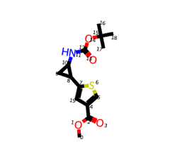 COC(=O)c1csc(C2CC2NC(=O)OC(C)(C)C)c1